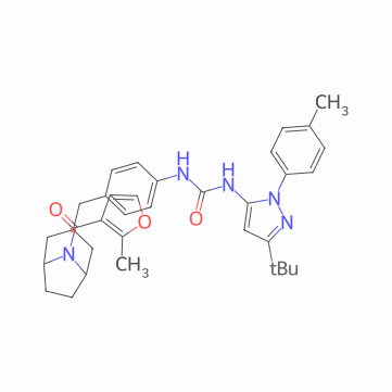 Cc1ccc(-n2nc(C(C)(C)C)cc2NC(=O)Nc2ccc(CC3CC4CCC(C3)N4C(=O)c3ccoc3C)cc2)cc1